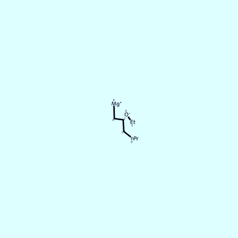 CCCCC[CH2][Mg+].CC[O-]